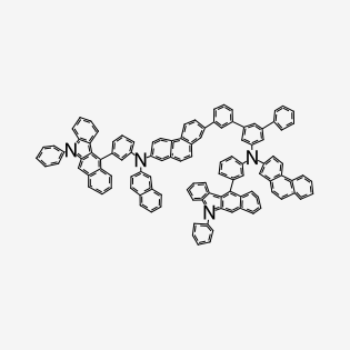 c1ccc(-c2cc(-c3cccc(-c4ccc5c(ccc6cc(N(c7cccc(-c8c9ccccc9cc9c8c8ccccc8n9-c8ccccc8)c7)c7ccc8ccccc8c7)ccc65)c4)c3)cc(N(c3cccc(-c4c5ccccc5cc5c4c4ccccc4n5-c4ccccc4)c3)c3ccc4c(ccc5ccccc54)c3)c2)cc1